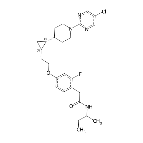 CCC(C)NC(=O)Cc1ccc(OCC[C@@H]2C[C@@H]2C2CCN(c3ncc(Cl)cn3)CC2)cc1F